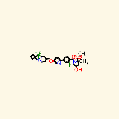 COC(=O)C1(C)CC(O)CN1C(=O)c1ccc(-c2ccc(OCC3CCN(CC4(C(F)(F)F)CCC4)CC3)cn2)cc1F